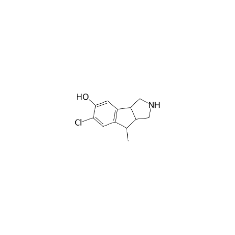 CC1c2cc(Cl)c(O)cc2C2CNCC12